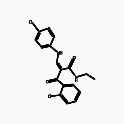 CCNC(=O)C(=CNc1ccc(Cl)cc1)C(=O)c1ccccc1Cl